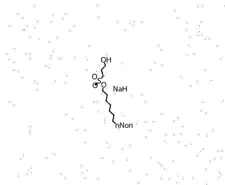 CCCCCCCCCCCCCCCCOS(=O)(=O)CCCO.[NaH]